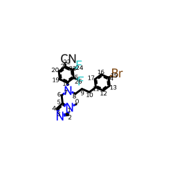 Cn1cncc1CN(CCCc1ccc(Br)cc1)c1ccc(C#N)c(F)c1F